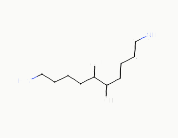 CC(CCCCN)C(C)CCCCN